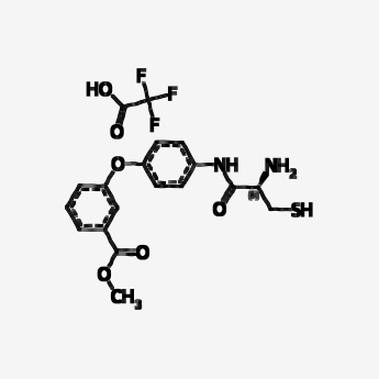 COC(=O)c1cccc(Oc2ccc(NC(=O)[C@@H](N)CS)cc2)c1.O=C(O)C(F)(F)F